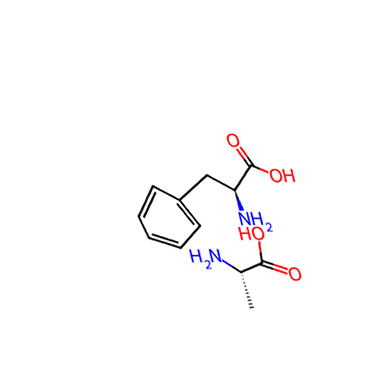 C[C@H](N)C(=O)O.N[C@@H](Cc1ccccc1)C(=O)O